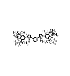 CC(C)(C)c1cc(-c2ccc(-c3cccc(-c4ccc(-c5cc(C(C)(C)C)c(ON)c(C(C)(C)C)c5)[nH]4)c3)[nH]2)cc(C(C)(C)C)c1N=O